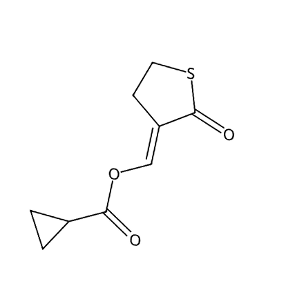 O=C1SCCC1=COC(=O)C1CC1